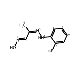 CC(/C=N/O)=N/Nc1ccccc1F